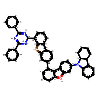 C1=CC2c3ccccc3N(c3ccc4c(c3)oc3cccc(-c5ccc6c(c5)sc5c(C7N=C(c8ccccc8)N=C(c8ccccc8)N7)cccc56)c34)C2C=C1